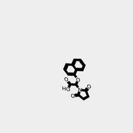 O=C(O)C(Oc1cccc2ccccc12)N1C(=O)CCC1=O